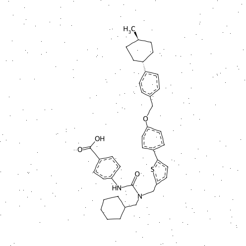 C[C@H]1CC[C@H](c2ccc(COc3ccc(-c4ccc(CN(CC5CCCCC5)C(=O)Nc5ccc(C(=O)O)cc5)s4)cc3)cc2)CC1